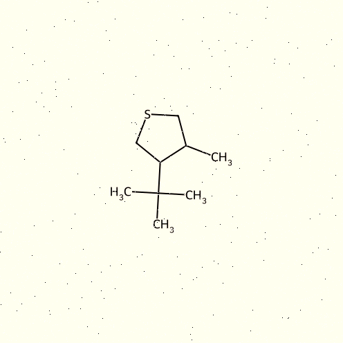 CC1CSCC1C(C)(C)C